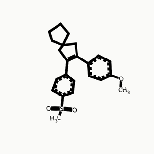 COc1ccc(C2=C(c3ccc(S(C)(=O)=O)cc3)CC3(CCCC3)C2)cc1